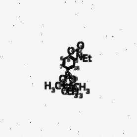 CCn1c(=O)oc2ccc(B3OC(C)(C)C(C)(C)O3)cc21